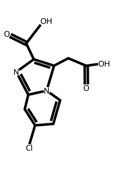 O=C(O)Cc1c(C(=O)O)nc2cc(Cl)ccn12